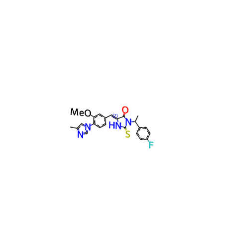 COc1cc(/C=C2\NC(=S)N(C(C)c3ccc(F)cc3)C2=O)ccc1-n1cnc(C)c1